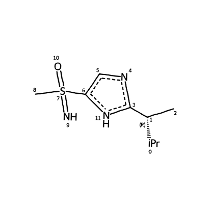 CC(C)[C@@H](C)c1ncc(S(C)(=N)=O)[nH]1